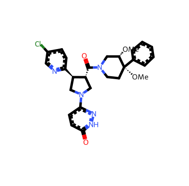 CO[C@H]1CN(C(=O)[C@@H]2CN(c3ccc(=O)[nH]n3)C[C@H]2c2ccc(Cl)cn2)CC[C@]1(OC)c1ccccc1